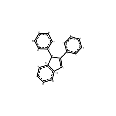 C1=C(c2ccccc2)C(c2ccccc2)c2ccccc21